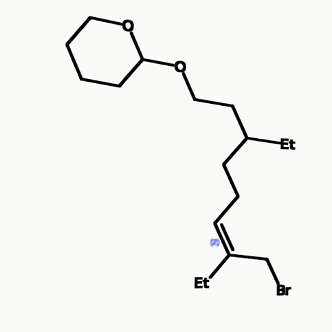 CC/C(=C/CCC(CC)CCOC1CCCCO1)CBr